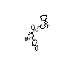 CC1(C)C(C=C(Br)c2ccc(Cl)cc2)C1C(=O)OCc1ccc(F)c(Oc2ccccc2)c1